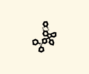 c1ccc(N(c2ccccc2)c2ccc(C3(c4ccccc4)c4ccccc4-c4c3ccc3c4Sc4ccccc4S3)cc2)cc1